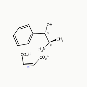 C[C@@H](N)[C@@H](O)c1ccccc1.O=C(O)/C=C\C(=O)O